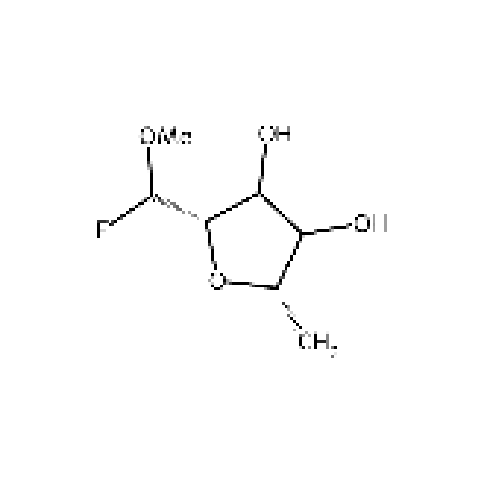 COC(F)[C@H]1O[C@@H](C)C(O)C1O